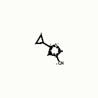 N#Cc1csc(C2CC2)c1